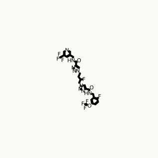 O=C(NCc1cncc(C(F)(F)F)c1)c1cn(CCC(F)Cn2cc(C(=O)NCc3cc(OC(F)(F)F)ccc3F)nn2)nn1